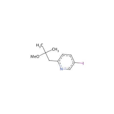 COC(C)(C)Cc1ccc(I)cn1